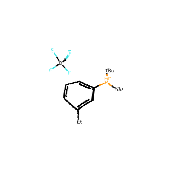 CCc1cccc([PH+](C(C)(C)C)C(C)(C)C)c1.F[B-](F)(F)F